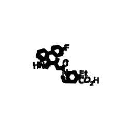 CCC1(C(=O)O)CC2CCN(C(=O)CC(C)c3c[nH]c4cccc(-c5ccc(F)cc5)c34)C(C2)C1